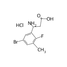 Cc1cc(Br)cc(C(N)CC(=O)O)c1F.Cl